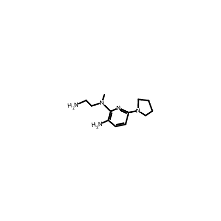 CN(CCN)c1nc(N2CCCC2)ccc1N